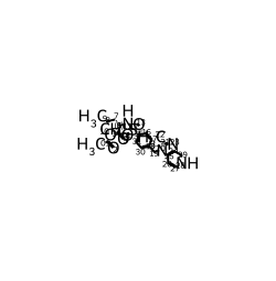 CC(=O)OC(=O)[C@H](CC(C)C)NS(=O)(=O)c1ccc(Cn2c(C)nc3c2C=CNC3)cc1